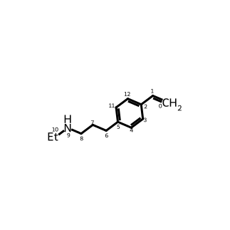 C=Cc1ccc(CCCNCC)cc1